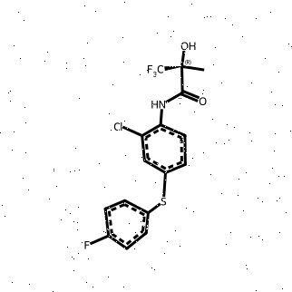 C[C@@](O)(C(=O)Nc1ccc(Sc2ccc(F)cc2)cc1Cl)C(F)(F)F